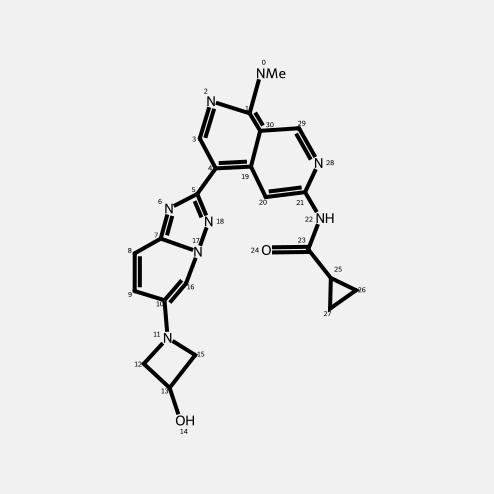 CNc1ncc(-c2nc3ccc(N4CC(O)C4)cn3n2)c2cc(NC(=O)C3CC3)ncc12